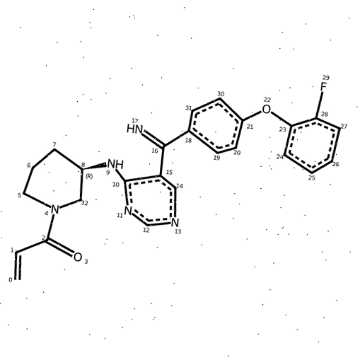 C=CC(=O)N1CCC[C@@H](Nc2ncncc2C(=N)c2ccc(Oc3ccccc3F)cc2)C1